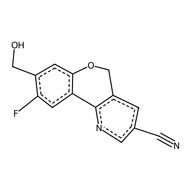 N#Cc1cnc2c(c1)COc1cc(CO)c(F)cc1-2